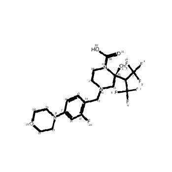 C[C@@]1(C(C(F)(F)F)C(F)(F)F)CN(Cc2ccc(N3CCOCC3)cc2F)CCN1C(=O)O